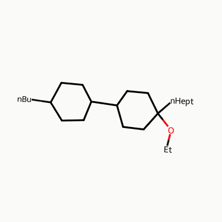 CCCCCCCC1(OCC)CCC(C2CCC(CCCC)CC2)CC1